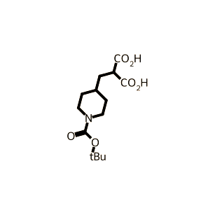 CC(C)(C)OC(=O)N1CCC(CC(C(=O)O)C(=O)O)CC1